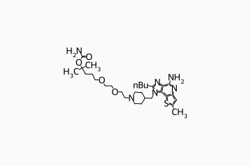 CCCCc1nc2c(N)nc3cc(C)sc3c2n1CC1CCN(CCOCCOCCCC(C)(C)OC(N)=O)CC1